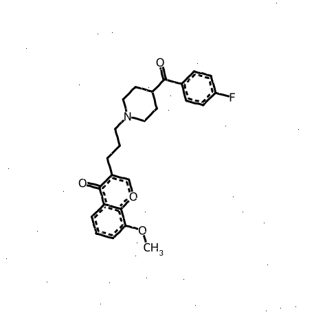 COc1cccc2c(=O)c(CCCN3CCC(C(=O)c4ccc(F)cc4)CC3)coc12